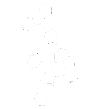 c1ccc(-c2nc(-c3ccccc3)nc(-c3cccc4sc5cc6c(cc5c34)oc3cc(-n4c5ccccc5c5ccccc54)ccc36)n2)cc1